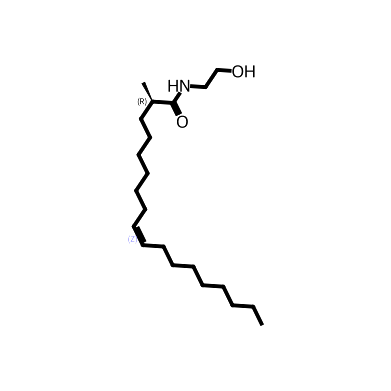 CCCCCCCC/C=C\CCCCCC[C@@H](C)C(=O)NCCO